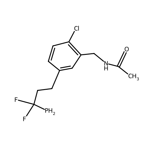 CC(=O)NCc1cc(CCC(F)(F)P)ccc1Cl